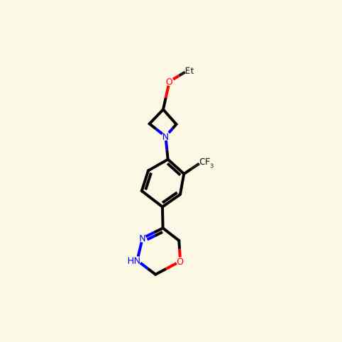 CCOC1CN(c2ccc(C3=NNCOC3)cc2C(F)(F)F)C1